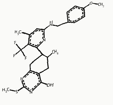 COc1ccc(CNc2cc(C)c(C(F)(F)F)c(C3Cc4nc(SC)nc(O)c4CC3C)n2)cc1